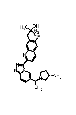 C[C@@H](c1ccc2nnc(-c3ccc4cc(F)c(CC(C)(C)O)cc4n3)n2c1)N1CC[C@H](N)C1